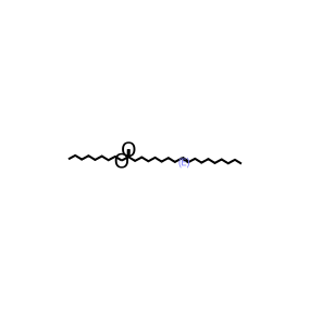 CCCCCCCC/C=C/CCCCCCCC(=O)OCCCCCCCC